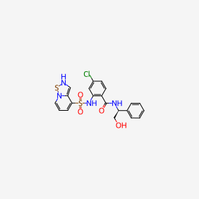 O=C(N[C@H](CO)c1ccccc1)c1ccc(Cl)cc1NS(=O)(=O)C1=CC=CN2SNC=C12